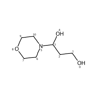 OCCC(O)N1CCOCC1